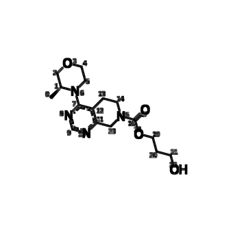 C[C@H]1COCCN1c1ncnc2c1CCN(C(=O)OCCCO)C2